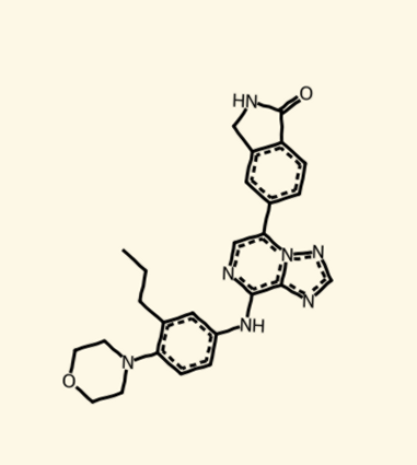 CCCc1cc(Nc2ncc(-c3ccc4c(c3)CNC4=O)n3ncnc23)ccc1N1CCOCC1